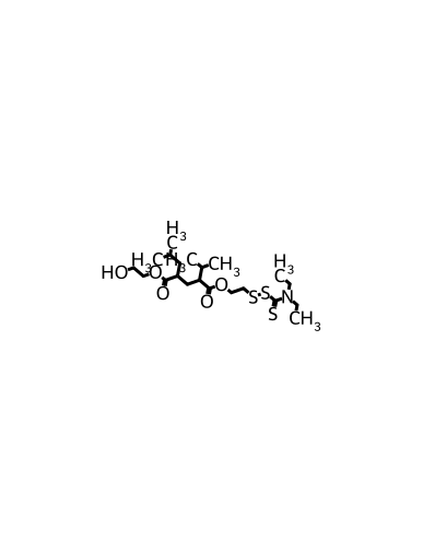 CCN(CC)C(=S)SSCCOC(=O)C(CC(CC(C)C)C(=O)OCCO)C(C)C